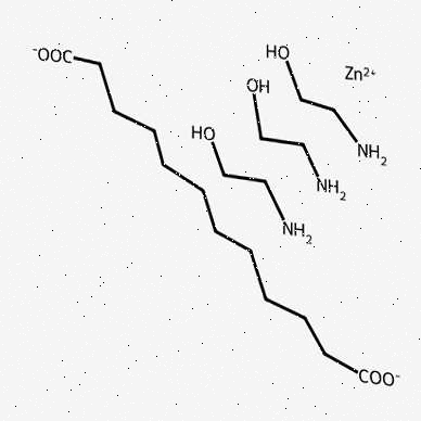 NCCO.NCCO.NCCO.O=C([O-])CCCCCCCCCCC(=O)[O-].[Zn+2]